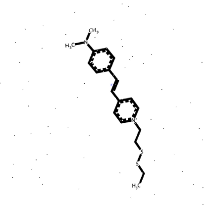 CCSSCC[n+]1ccc(/C=C/c2ccc(N(C)C)cc2)cc1